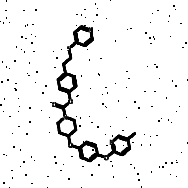 Cc1ccc(Oc2ccc(OC3CCN(C(=O)Oc4ccc(CCSc5ccncc5)cc4)CC3)cc2)nc1